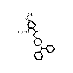 COc1ccc(C(=O)CN2CCN(C(c3ccccc3)c3ccccc3)CC2)c(OC)c1